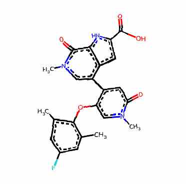 Cc1cc(F)cc(C)c1Oc1cn(C)c(=O)cc1-c1cn(C)c(=O)c2[nH]c(C(=O)O)cc12